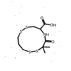 CC1(C)SSCCCSSCC(C(=O)O)NC1=O